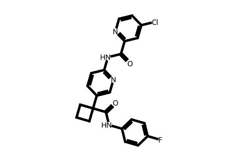 O=C(Nc1ccc(C2(C(=O)Nc3ccc(F)cc3)CCC2)cn1)c1cc(Cl)ccn1